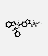 CS(=O)(=O)NC1CCc2cc(S(=O)(=O)c3cc4ccccc4n3S(=O)(=O)c3ccccn3)ccc21